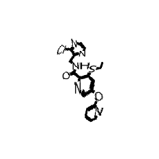 CCSc1cc(Oc2ccccn2)cnc1C(=O)NCc1nccnc1Cl